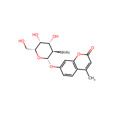 CC(=O)N[C@H]1[C@H](Oc2ccc3c(C)cc(=O)oc3c2)O[C@H](CO)[C@H](O)[C@@H]1O